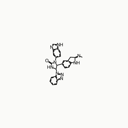 CN=C1Cc2cc(C3C(n4nnc5ccccc54)NC(=O)N3c3ccc4[nH]cnc4c3)ccc2N1